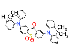 CC1(C)c2ccccc2N(c2ccc3c(c2)C(=O)c2cc(N4c5ccccc5C(C)(C)c5ccccc54)ccc2S3(=O)=O)c2ccccc21